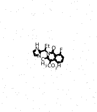 CCC(c1ncc[nH]1)n1c(C)c(C(=O)O)c2cccc(F)c2c1=O